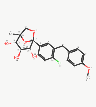 CCOc1ccc(Cc2cc([C@]34OC[C@](C(C)=O)(O3)[C@@H](O)[C@H](O)[C@H]4O)ccc2Cl)cc1